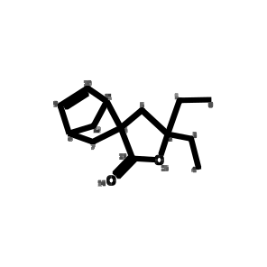 CCC1(CC)CC2(CC3C=CC2C3)C(=O)O1